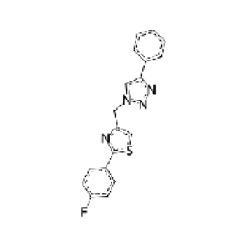 Fc1ccc(-c2nc(Cn3cc(-c4ccccc4)nn3)cs2)cc1